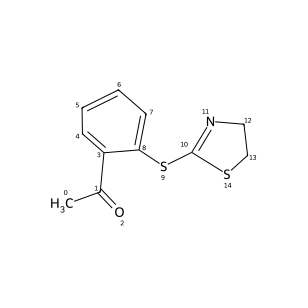 CC(=O)c1ccccc1SC1=NCCS1